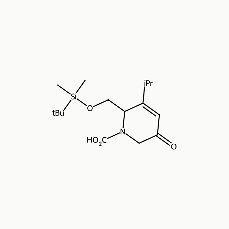 CC(C)C1=CC(=O)CN(C(=O)O)C1CO[Si](C)(C)C(C)(C)C